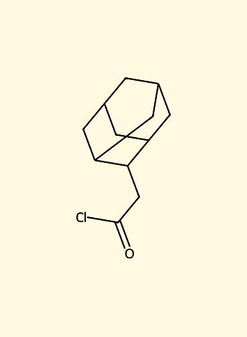 O=C(Cl)CC1C2CC3CC(C2)CC1C3